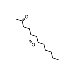 C=O.CCCCCCCCCCC(C)=O